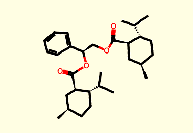 CC(C)[C@@H]1CC[C@@H](C)C[C@H]1C(=O)OC[C@@H](OC(=O)[C@@H]1C[C@H](C)CC[C@H]1C(C)C)c1ccccc1